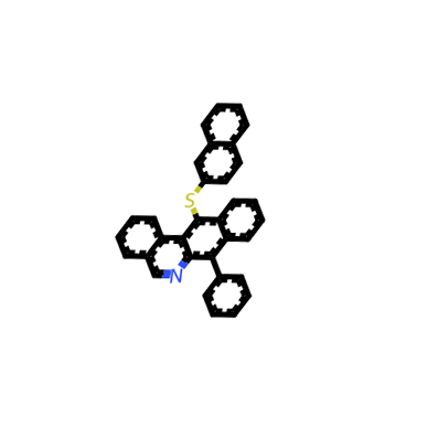 c1ccc(-c2c3ccccc3c(Sc3ccc4ccccc4c3)c3c2ncc2ccccc23)cc1